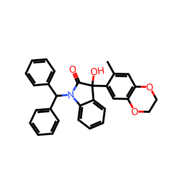 Cc1cc2c(cc1C1(O)C(=O)N(C(c3ccccc3)c3ccccc3)c3ccccc31)OCCO2